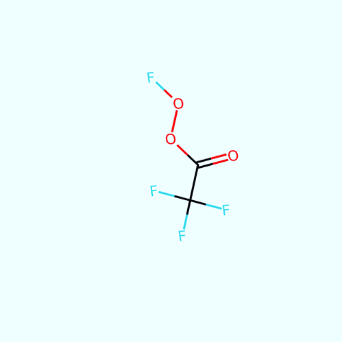 O=C(OOF)C(F)(F)F